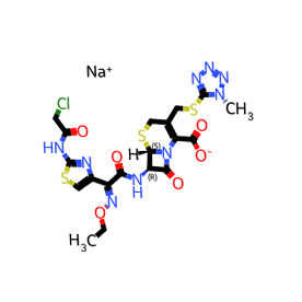 CCON=C(C(=O)N[C@@H]1C(=O)N2C(C(=O)[O-])=C(CSc3nnnn3C)CS[C@@H]12)c1csc(NC(=O)CCl)n1.[Na+]